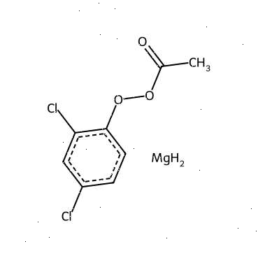 CC(=O)OOc1ccc(Cl)cc1Cl.[MgH2]